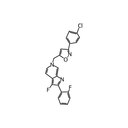 Fc1ccccc1-c1nc2cn(Cc3cc(-c4ccc(Cl)cc4)no3)ccc-2c1F